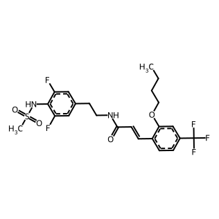 CCCCOc1cc(C(F)(F)F)ccc1C=CC(=O)NCCc1cc(F)c(NS(C)(=O)=O)c(F)c1